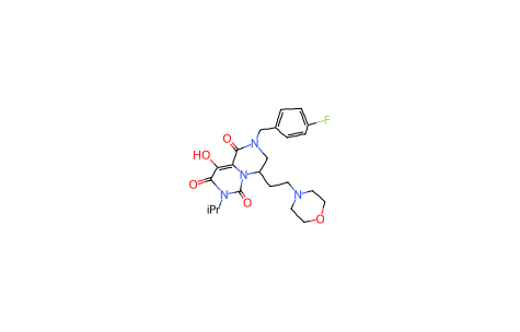 CC(C)n1c(=O)c(O)c2n(c1=O)C(CCN1CCOCC1)CN(Cc1ccc(F)cc1)C2=O